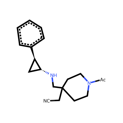 CC(=O)N1CCC(CC#N)(CN[C@@H]2C[C@H]2c2ccccc2)CC1